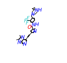 Cc1nc2cncc(C#Cc3cncc(C(=O)Nc4ccc(CN5CCNC6(CC6)C5)c(C(F)(F)F)c4)c3)c2nc1C